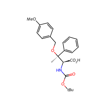 COc1ccc(CO[C@@](C)(c2ccccc2)[C@H](NC(=O)OC(C)(C)C)C(=O)O)cc1